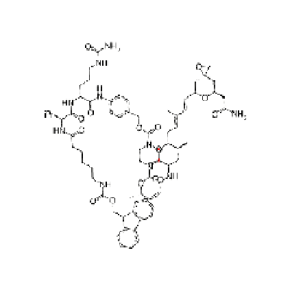 CC(/C=C/C1C[C@]2(CO2)C[C@@H](CC(N)=O)O1)=C\CC1O[C@H](C)[C@H](NC(=O)/C=C\[C@H](C)OC(=O)N2CCN(C(=O)OCc3ccc(NC(=O)[C@H](CCCNC(N)=O)NC(=O)[C@@H](NC(=O)CCCCCNC(=O)OCC4c5ccccc5-c5ccccc54)C(C)C)cc3)CC2)C[C@@H]1C